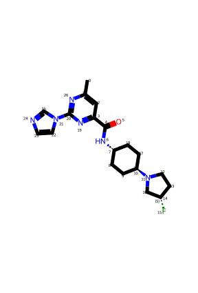 Cc1cc(C(=O)N[C@H]2CC[C@H](N3CC[C@H](F)C3)CC2)nc(-n2ccnc2)n1